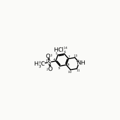 CS(=O)(=O)c1ccc2c(c1)CCNC2.Cl